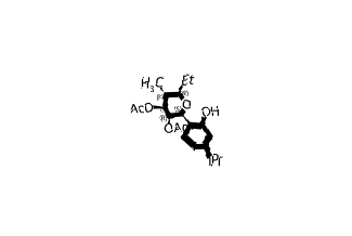 CC[C@H]1O[C@@H](c2ccc(C(C)C)cc2O)[C@H](OC(C)=O)[C@@H](OC(C)=O)[C@@H]1C